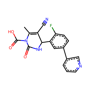 CC1=C(C#N)C(c2cc(-c3cccnc3)ccc2F)NC(=O)N1C(=O)O